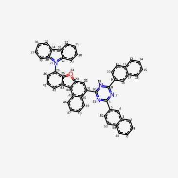 c1ccc2cc(-c3nc(-c4ccc5ccccc5c4)nc(-c4cc5oc6c(-n7c8ccccc8c8ccccc87)cccc6c5c5ccccc45)n3)ccc2c1